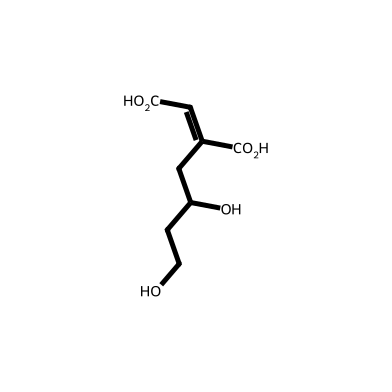 O=C(O)C=C(CC(O)CCO)C(=O)O